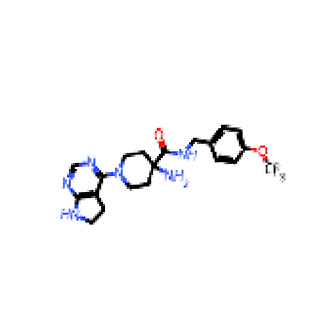 NC1(C(=O)NCc2ccc(OC(F)(F)F)cc2)CCN(c2ncnc3c2CCN3)CC1